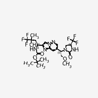 COC[C@H](c1cnn2cc([C@H](CC(C)(C)C(F)(F)F)NC(=O)OC(C)(C)C)nc2c1)N1C[C@@H](C(F)(F)F)NC1=O